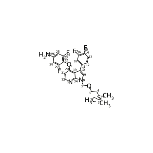 C[Si](C)(C)CCOCn1cc(-c2ccc(F)c(F)c2)c2c(Oc3c(F)cc(N)cc3F)ccnc21